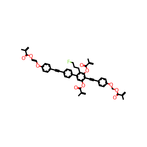 C=C(C)C(=O)O/C=C/Oc1ccc(C#Cc2ccc(-c3cc(OC(=O)C(=C)C)c(C#Cc4ccc(OCOC(=O)C(=C)C)cc4)c(OC(=O)C(=C)C)c3CCCF)cc2)cc1